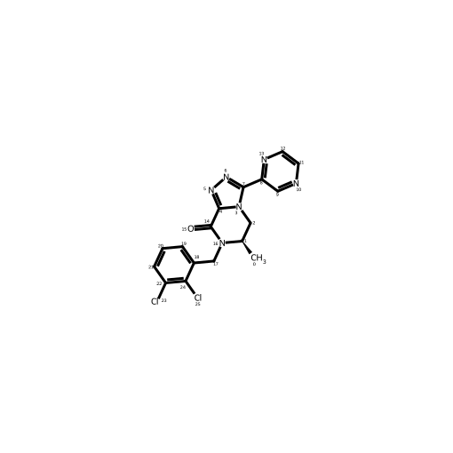 C[C@@H]1Cn2c(nnc2-c2cnccn2)C(=O)N1Cc1cccc(Cl)c1Cl